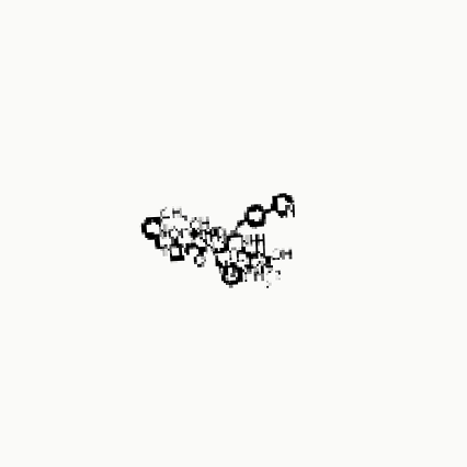 Cc1cccc(CN2CCN([C@H](C(=O)N[C@@H](Cc3ccccc3)C[C@H](O)[C@H](Cc3ccc(-c4cccnc4)cc3)NC(=O)[C@@H](NC(=O)O)C(C)(C)C)C(C)(C)C)C2=O)n1